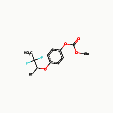 CC(C)C(Oc1ccc(OC(=O)OC(C)(C)C)cc1)C(F)(F)C(=O)O